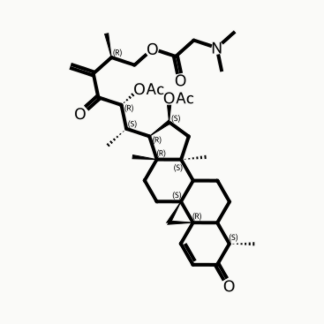 C=C(C(=O)[C@H](OC(C)=O)[C@@H](C)[C@H]1[C@@H](OC(C)=O)C[C@@]2(C)C3CCC4[C@H](C)C(=O)C=C[C@@]45C[C@@]35CC[C@]12C)[C@@H](C)COC(=O)CN(C)C